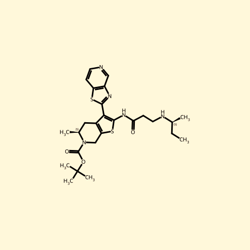 CC[C@H](C)NCCC(=O)Nc1sc2c(c1-c1nc3cnccc3s1)C[C@H](C)N(C(=O)OC(C)(C)C)C2